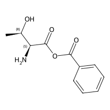 C[C@@H](O)[C@H](N)C(=O)OC(=O)c1ccccc1